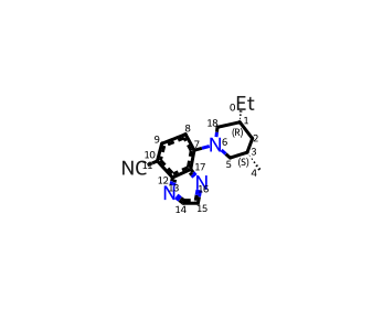 CC[C@@H]1C[C@H](C)CN(c2ccc(C#N)c3nccnc23)C1